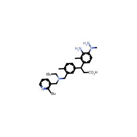 CCC(C)c1ncccc1CN(Cc1cc(C(CC(=O)O)c2ccc(N(C)N)c(N)c2C)ccc1C)CC(C)(C)C